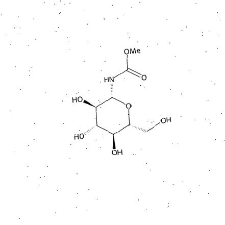 COC(=O)N[C@@H]1O[C@H](CO)[C@@H](O)[C@H](O)[C@H]1O